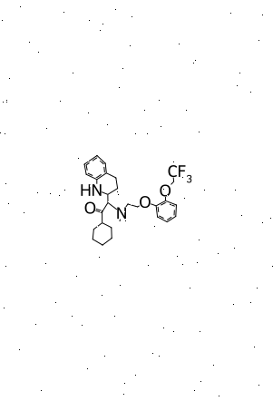 CN(CCOc1ccccc1OCC(F)(F)F)C(C(=O)C1CCCCC1)C1CCc2ccccc2N1